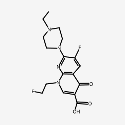 CCN1CCN(c2nc3c(cc2F)c(=O)c(C(=O)O)cn3CCF)CC1